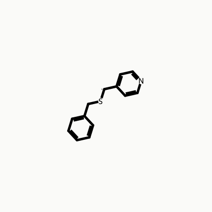 [CH](SCc1ccccc1)c1ccncc1